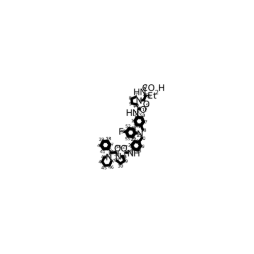 CC[C@H](NC(=O)O)C(=O)N1CCC[C@H]1C(=O)Nc1ccc(CN(Cc2ccc(NC(=O)[C@@H]3CCCN3C(=O)[C@@H](c3ccccc3)N3CCCCC3)cc2)c2ccc(F)cc2)cc1